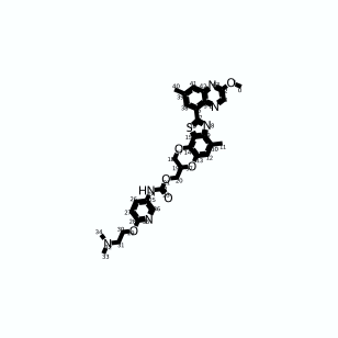 COc1cnc2c(-c3nc4c(C)cc5c(c4s3)OCC(COC(=O)Nc3ccc(OCCN(C)C)nc3)O5)cc(C)cc2n1